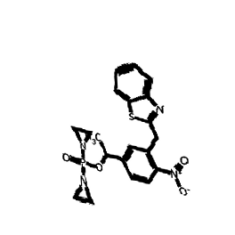 CC(OP(=O)(N1CC1)N1CC1)c1ccc([N+](=O)[O-])c(Cc2nc3ccccc3s2)c1